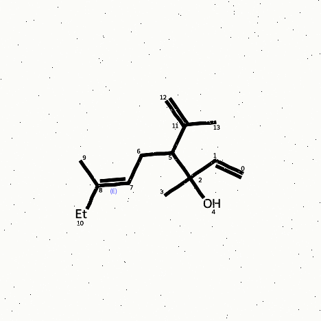 C=CC(C)(O)C(C/C=C(\C)CC)C(=C)C